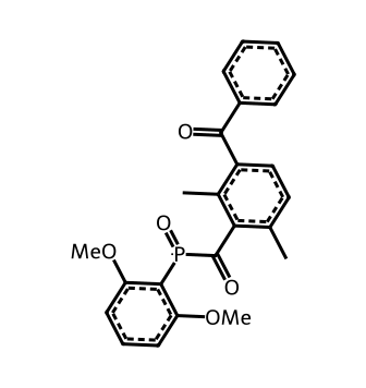 COc1cccc(OC)c1[P](=O)C(=O)c1c(C)ccc(C(=O)c2ccccc2)c1C